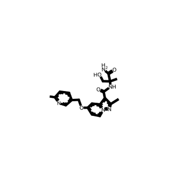 Cc1ccc(COc2ccn3nc(C)c(C(=O)NC(C)(CO)C(N)=O)c3c2)cn1